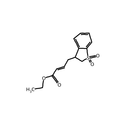 CCOC(=O)C=CCC1CS(=O)(=O)c2ccccc21